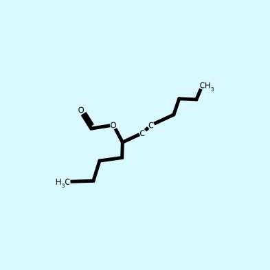 CCCCCCC(CCCC)OC=O